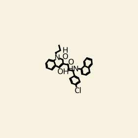 CCCN1c2ccccc2C(O)=C(C(=O)CC(Nc2cccc3ccccc23)c2ccc(Cl)cc2)C1O